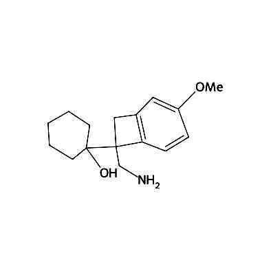 COc1ccc2c(c1)CC2(CN)C1(O)CCCCC1